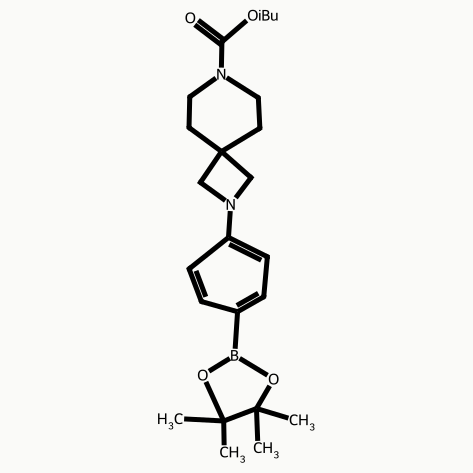 CC(C)COC(=O)N1CCC2(CC1)CN(c1ccc(B3OC(C)(C)C(C)(C)O3)cc1)C2